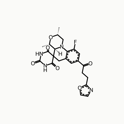 C[C@@H]1CN2c3c(F)cc(C(=O)CCc4ncco4)cc3CC3(C(=O)NC(=O)NC3=O)[C@H]2[C@H](C)O1